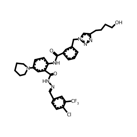 O=C(Nc1ccc(N2CCCCC2)cc1C(=O)N/N=C/c1ccc(Cl)c(C(F)(F)F)c1)c1cccc(Cn2cc(CCCCO)nn2)c1